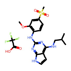 COc1cc(S(C)(=O)=O)ccc1Nc1nc(NCC(C)C)c2cc[nH]c2n1.O=C(O)C(F)(F)F